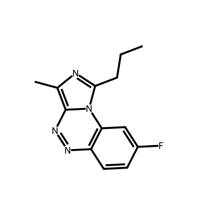 CCCc1nc(C)c2nnc3ccc(F)cc3n12